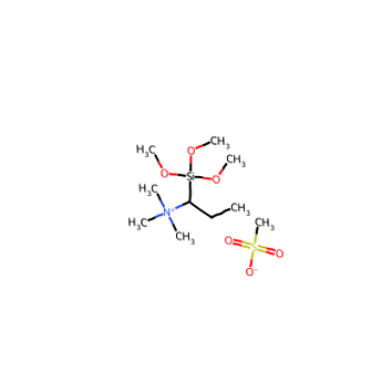 CCC([N+](C)(C)C)[Si](OC)(OC)OC.CS(=O)(=O)[O-]